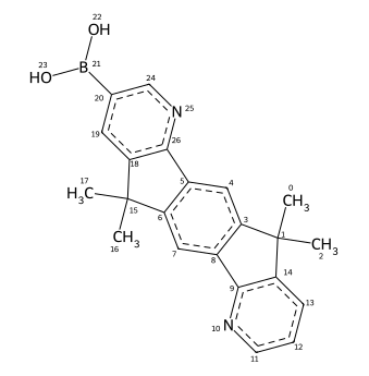 CC1(C)c2cc3c(cc2-c2ncccc21)C(C)(C)c1cc(B(O)O)cnc1-3